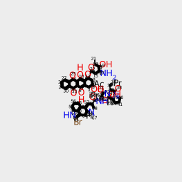 CC(=O)[C@]1(O)Cc2c(O)c3c(c(O)c2[C@@H](O[C@H]2C[C@H](N)[C@H](O)[C@H](C)O2)C1)C(=O)c1ccccc1C3=O.CC(C)C[C@H]1C(=O)N2CCC[C@H]2[C@]2(O)O[C@](NC(=O)[C@@H]3C=C4c5cccc6[nH]c(Br)c(c56)C[C@H]4N(C)C3)(C(C)C)C(=O)N12